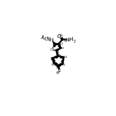 CC(=O)Nc1sc(-c2ccc(F)cc2)cc1C(N)=O